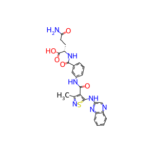 Cc1nsc(Nc2cnc3ccccc3n2)c1C(=O)Nc1cccc(C(=O)N[C@@H](CCC(N)=O)C(=O)O)c1